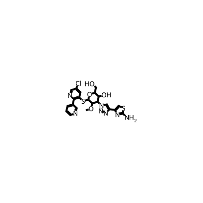 COC1C(Sc2cc(Cl)cnc2-c2cccnc2)OC(CO)C(O)C1n1cc(-c2csc(N)n2)nn1